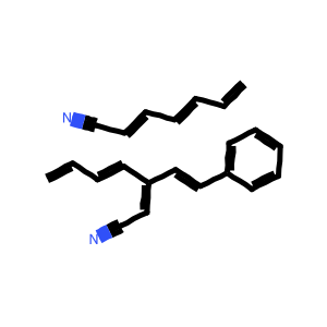 C=CC=CC(C=Cc1ccccc1)=CC#N.C=CC=CC=CC#N